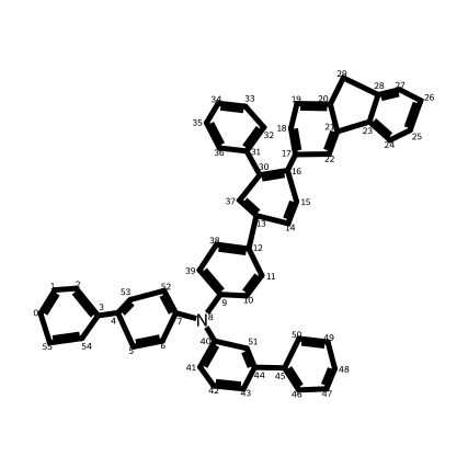 c1ccc(-c2ccc(N(c3ccc(-c4ccc(-c5ccc6c(c5)-c5ccccc5C6)c(-c5ccccc5)c4)cc3)c3cccc(-c4ccccc4)c3)cc2)cc1